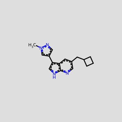 Cn1cc(-c2c[nH]c3ncc(CC4CCC4)cc23)cn1